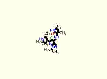 Cc1cc(C)c(CNCc2c(Cl)c(C3=CC(C)(C)NC(C)(C)C3)nc3c2cnn3C(C)C)c(=O)[nH]1